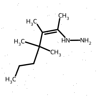 CCCC(C)(C)C(C)=C(C)NN